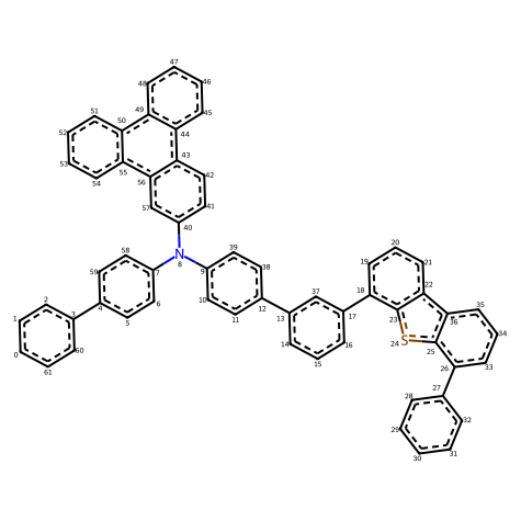 c1ccc(-c2ccc(N(c3ccc(-c4cccc(-c5cccc6c5sc5c(-c7ccccc7)cccc56)c4)cc3)c3ccc4c5ccccc5c5ccccc5c4c3)cc2)cc1